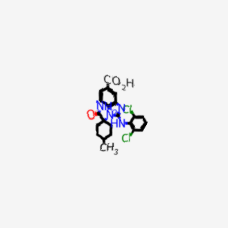 CC1CCC(C(N)=O)(n2c(Nc3c(Cl)cccc3Cl)nc3cc(C(=O)O)ccc32)CC1